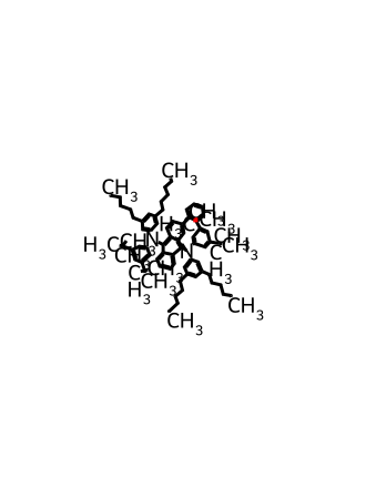 CCCCCCc1cc(CCCCCC)cc(N(c2cc(C(C)(C)C)cc(C(C)(C)C)c2)c2c3ccccc3c(N(c3cc(CCCCCC)cc(CCCCCC)c3)c3cc(C(C)(C)C)cc(C(C)(C)C)c3)c3cc(-c4ccccc4)ccc23)c1